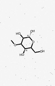 COC1C(O)[C@H](O)OC(CO)[C@H]1O